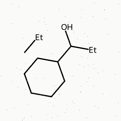 CCC.CCC(O)C1CCCCC1